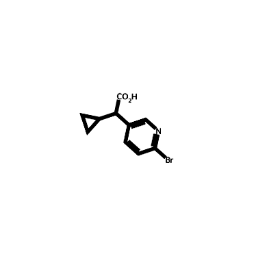 O=C(O)C(c1ccc(Br)nc1)C1CC1